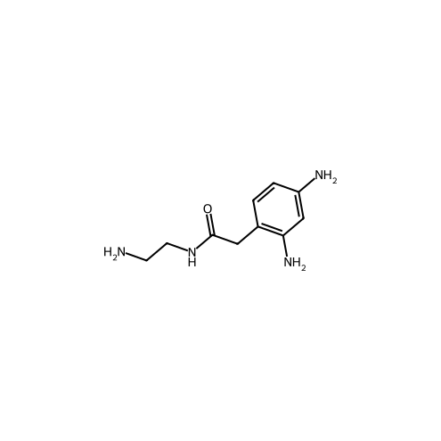 NCCNC(=O)Cc1ccc(N)cc1N